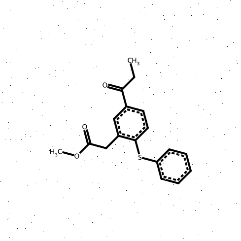 CCC(=O)c1ccc(Sc2ccccc2)c(CC(=O)OC)c1